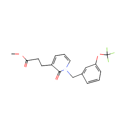 COC(=O)CCc1cccn(Cc2cccc(OC(F)(F)F)c2)c1=O